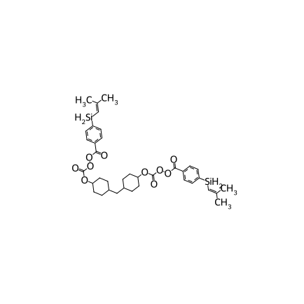 CC(C)=C[SiH2]c1ccc(C(=O)OOC(=O)OC2CCC(CC3CCC(OC(=O)OOC(=O)c4ccc([SiH2]C=C(C)C)cc4)CC3)CC2)cc1